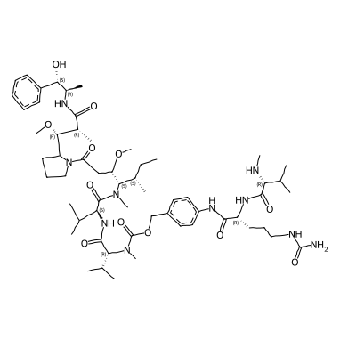 CC[C@H](C)[C@@H](C(CC(=O)N1CCCC1[C@H](OC)[C@@H](C)C(=O)N[C@H](C)[C@@H](O)c1ccccc1)OC)N(C)C(=O)[C@@H](NC(=O)[C@@H](C(C)C)N(C)C(=O)OCc1ccc(NC(=O)[C@@H](CCCNC(N)=O)NC(=O)[C@H](NC)C(C)C)cc1)C(C)C